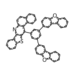 c1ccc2c(c1)ccc1nc3c(sc4ccccc43)c(-c3cc(-c4ccc5oc6ccccc6c5c4)cc(-c4ccc5oc6ccccc6c5c4)c3)c12